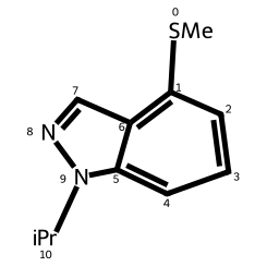 CSc1cccc2c1cnn2C(C)C